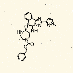 Cn1ccc(-c2nc3c4ccccc4nc(N[C@@H]4CN(C(=O)OCc5ccccc5)CCNC4=O)n3n2)n1